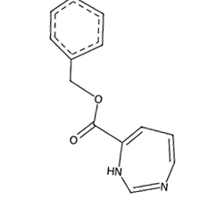 O=C(OCc1ccccc1)C1=CC=CN=CN1